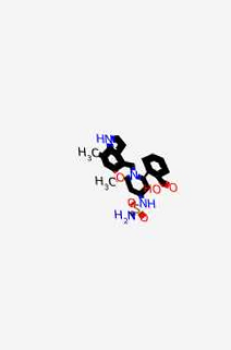 COc1cc(C)c2[nH]ccc2c1CN1CCC(NS(N)(=O)=O)C[C@@H]1c1ccccc1C(=O)O